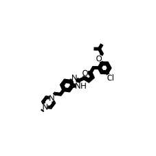 CC(C)COc1ccc(Cl)cc1Cc1ccc(-c2nc3ccc(CCN4CCN(C)CC4)cc3[nH]2)o1